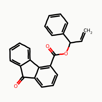 C=CC(OC(=O)c1cccc2c1-c1ccccc1C2=O)c1ccccc1